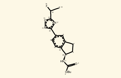 CC(C)COC(=O)N[C@@H]1CCc2cc(-c3noc(C(F)F)n3)ccc21